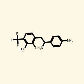 [CH2]c1c(C(F)(F)F)ccc(CC(N)c2ccc(N)cc2)c1F